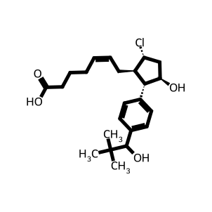 CC(C)(C)C(O)c1ccc([C@@H]2[C@@H](C/C=C\CCCC(=O)O)[C@H](Cl)C[C@H]2O)cc1